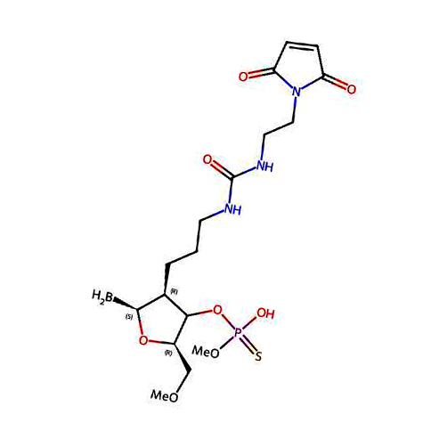 B[C@@H]1O[C@H](COC)C(OP(O)(=S)OC)[C@@H]1CCCNC(=O)NCCN1C(=O)C=CC1=O